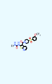 CCNC(=O)Nc1sc2ncccc2c1C(=O)N1CCC(S(=O)(=O)c2cccc(OC(F)(F)F)c2)CC1